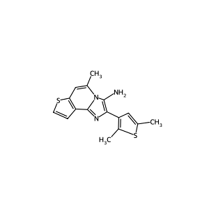 Cc1cc(-c2nc3c4ccsc4cc(C)n3c2N)c(C)s1